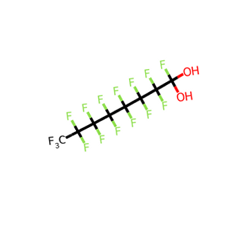 OC(O)(F)C(F)(F)C(F)(F)C(F)(F)C(F)(F)C(F)(F)C(F)(F)C(F)(F)F